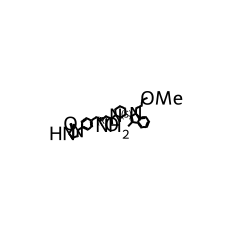 COCCCn1c([C@H]2CCCN(C(=O)C[C@H](N)Cc3ccc(N4CCNC4=O)cc3)C2)c(C)c2ccccc21